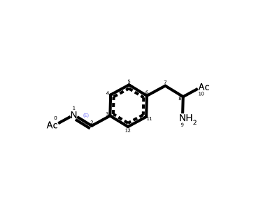 CC(=O)/N=C/c1ccc(CC(N)C(C)=O)cc1